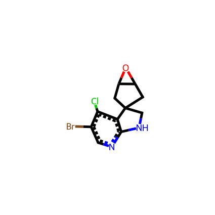 Clc1c(Br)cnc2c1C1(CN2)CC2OC2C1